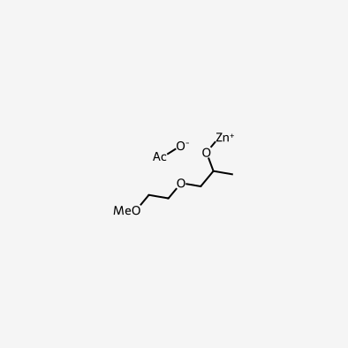 CC(=O)[O-].COCCOCC(C)[O][Zn+]